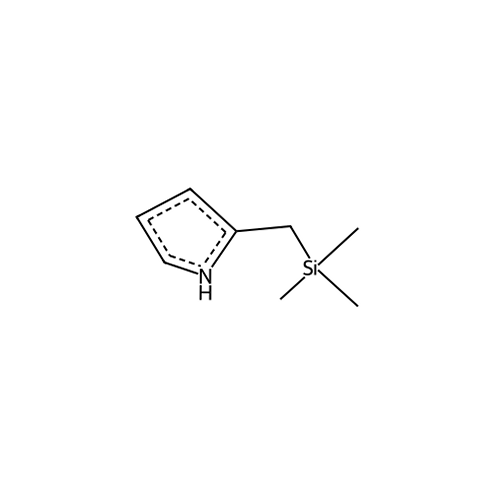 C[Si](C)(C)Cc1ccc[nH]1